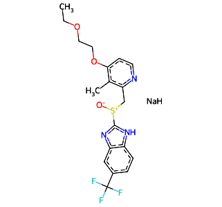 CCOCCOc1ccnc(C[S+]([O-])c2nc3cc(C(F)(F)F)ccc3[nH]2)c1C.[NaH]